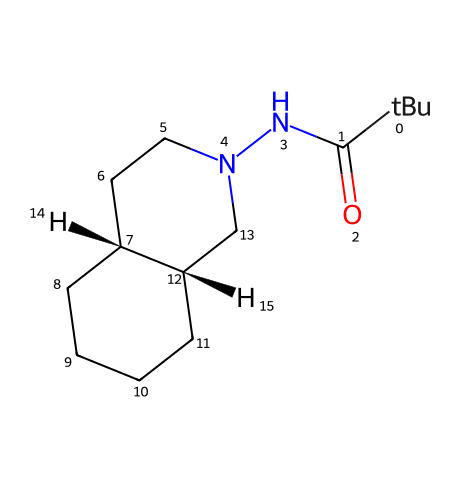 CC(C)(C)C(=O)NN1CC[C@H]2CCCC[C@H]2C1